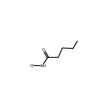 CCCCC(=O)NCl